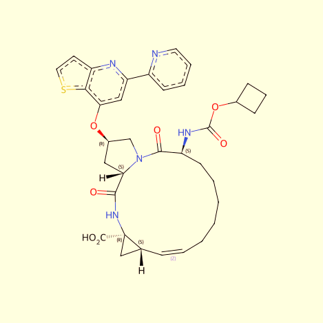 O=C(N[C@H]1CCCCC/C=C\[C@@H]2C[C@@]2(C(=O)O)NC(=O)[C@@H]2C[C@@H](Oc3cc(-c4ccccn4)nc4ccsc34)CN2C1=O)OC1CCC1